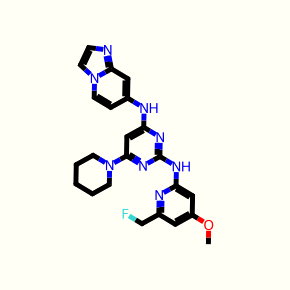 COc1cc(CF)nc(Nc2nc(Nc3ccn4ccnc4c3)cc(N3CCCCC3)n2)c1